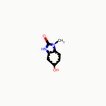 Cn1c(=O)[nH]c2cc(O)ccc21